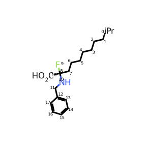 CC(C)CCCCCCCC(F)(NCc1ccccc1)C(=O)O